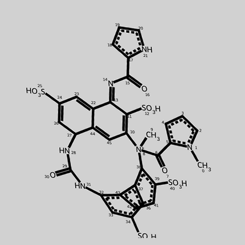 Cn1cccc1C(=O)[N+]1(C)C2=C(S(=O)(=O)O)C(=NC(=O)c3ccc[nH]3)C3=CC(S(=O)(=O)O)=CC(NC(=O)Nc4cc(S(=O)(=O)O)cc5c1c(S(=O)(=O)O)ccc45)C3=C2